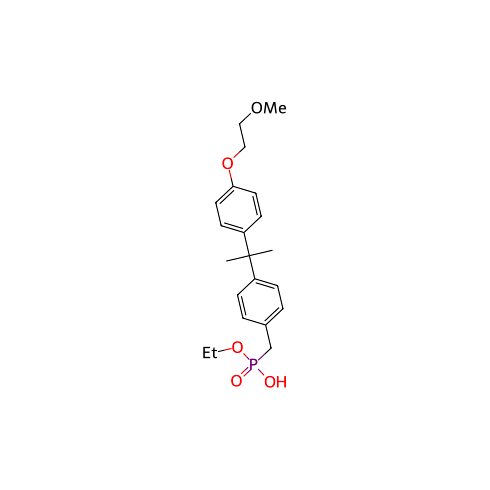 CCOP(=O)(O)Cc1ccc(C(C)(C)c2ccc(OCCOC)cc2)cc1